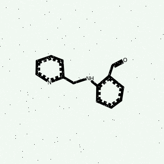 O=Cc1ccccc1NCc1ccccn1